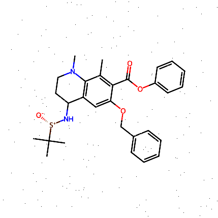 Cc1c(C(=O)Oc2ccccc2)c(OCc2ccccc2)cc2c1N(C)CCC2N[S@@+]([O-])C(C)(C)C